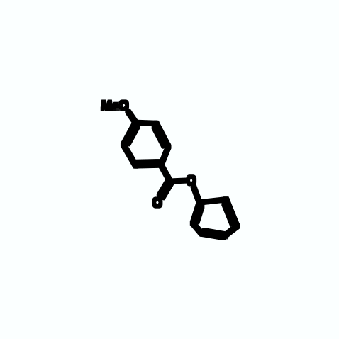 COc1ccc(C(=O)Oc2cc[c]cc2)cc1